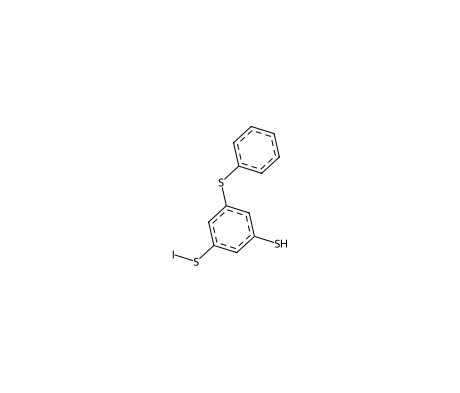 Sc1cc(SI)cc(Sc2ccccc2)c1